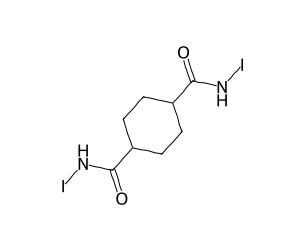 O=C(NI)C1CCC(C(=O)NI)CC1